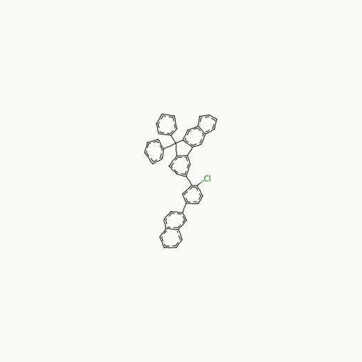 Clc1ccc(-c2ccc3ccccc3c2)cc1-c1ccc2c(c1)-c1cc3ccccc3cc1C2(c1ccccc1)c1ccccc1